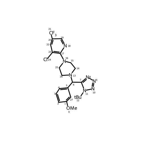 COc1cccc(C(c2nnnn2C(C)(C)C)N2CCN(c3ncc(C(F)(F)F)cc3Cl)CC2)c1